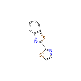 c1ccc2sc(-c3nccs3)nc2c1